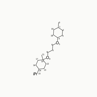 CC1CCC(OCCCOC2(C)CCC(C(C)C)CC2)CC1